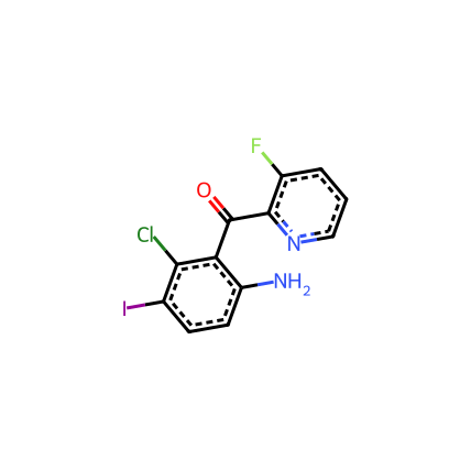 Nc1ccc(I)c(Cl)c1C(=O)c1ncccc1F